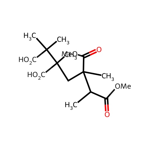 COC(=O)C(C)C(C)(CC(C)(C(=O)O)C(C)(C)C(=O)O)C(=O)OC